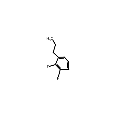 CCCc1cc[c]c(F)c1F